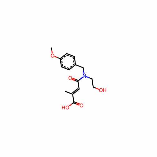 COc1ccc(CN(CCO)C(=O)/C=C(\C)C(=O)O)cc1